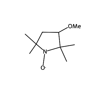 COC1CC(C)(C)N([O])C1(C)C